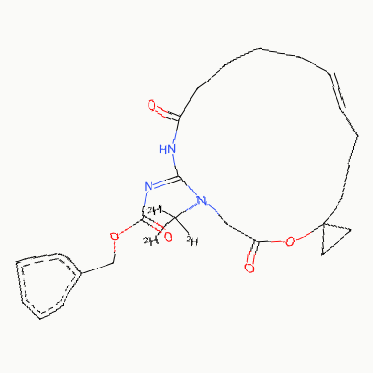 [2H]C([2H])([2H])N1CC(=O)OC2(CCC/C=C/CCCCC(=O)N/C1=N/C(=O)OCc1ccccc1)CC2